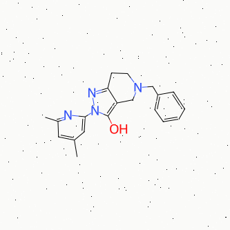 Cc1cc(C)nc(-n2nc3c(c2O)CN(Cc2ccccc2)CC3)c1